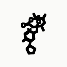 Cc1cnc(CC2(C(C)CC(C)C)CC(=O)OC(C)(C)O2)cc1C1CCCC1